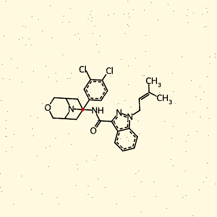 CC(C)=CCn1nc(C(=O)NC2CC3COCC(C2)N3Cc2ccc(Cl)c(Cl)c2)c2ccccc21